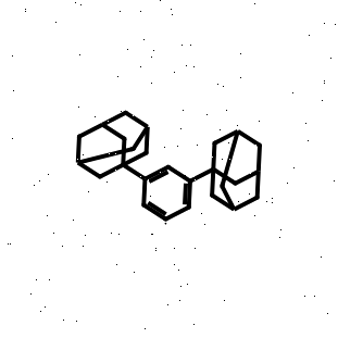 [c]1cc(C23CC4CC(CC(C4)C2)C3)cc(C23CC4CC(CC(C4)C2)C3)c1